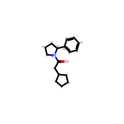 O=C(CC1CCCC1)N1CCCC1c1ccccc1